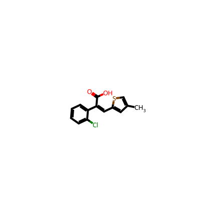 Cc1csc(C=C(C(=O)O)c2ccccc2Cl)c1